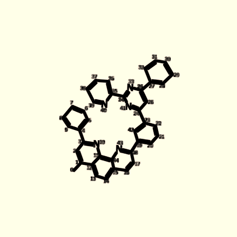 Cc1cc(-c2ccccc2)nc2c1ccc1ccc(-c3cccc(-c4cc(-c5ccccc5)nc(-c5ccccn5)n4)c3)nc12